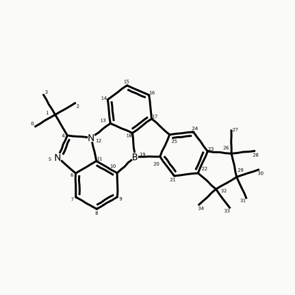 CC(C)(C)c1nc2cccc3c2n1-c1cccc2c1B3c1cc3c(cc1-2)C(C)(C)C(C)(C)C3(C)C